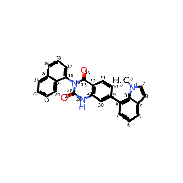 Cn1ccc2cccc(-c3ccc4c(=O)n(-c5cccc6ccccc56)c(=O)[nH]c4c3)c21